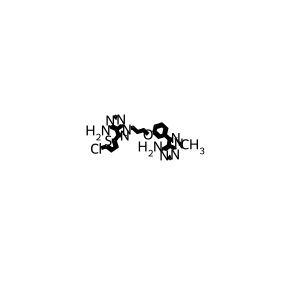 Cn1nc(-c2cccc(OCCCn3nc(-c4ccc(Cl)s4)c4c(N)ncnc43)c2)c2c(N)ncnc21